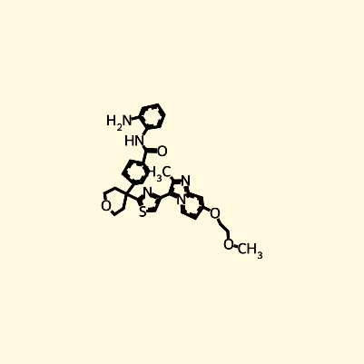 COCCOc1ccn2c(-c3csc(C4(c5ccc(C(=O)Nc6ccccc6N)cc5)CCOCC4)n3)c(C)nc2c1